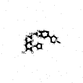 CN1CCC(c2ccc3nc(Nc4ncc5cc(C#N)c(=O)n(C6CCCC6)c5n4)sc3c2)CC1